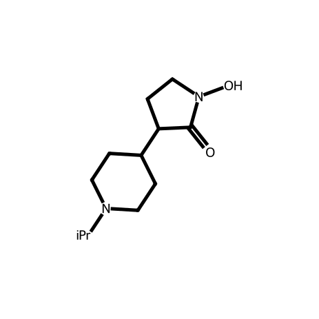 CC(C)N1CCC(C2CCN(O)C2=O)CC1